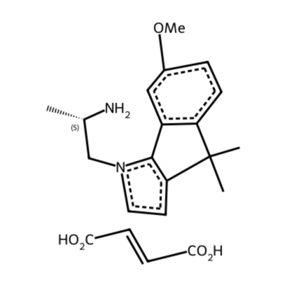 COc1ccc2c(c1)-c1c(ccn1C[C@H](C)N)C2(C)C.O=C(O)C=CC(=O)O